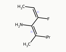 C/C=C(F)\C(N)=C(\C)C(C)C